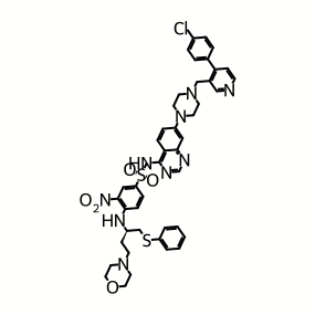 O=[N+]([O-])c1cc(S(=O)(=O)Nc2ncnc3cc(N4CCN(Cc5cnccc5-c5ccc(Cl)cc5)CC4)ccc23)ccc1N[C@H](CCN1CCOCC1)CSc1ccccc1